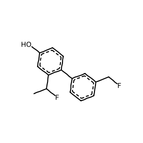 CC(F)c1cc(O)ccc1-c1cccc(CF)c1